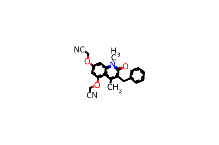 Cc1c(Cc2ccccc2)c(=O)n(C)c2cc(OCC#N)cc(OCC#N)c12